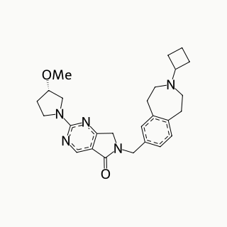 CO[C@H]1CCN(c2ncc3c(n2)CN(Cc2ccc4c(c2)CCN(C2CCC2)CC4)C3=O)C1